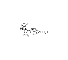 Nc1cc(Nc2cc(C(F)(F)F)ccn2)nc(-c2cnc([C@]3(O)CCCc4cc(C(=O)O)ccc43)s2)c1